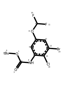 CC(C)(C)OC(=O)Nc1cc(OC(F)F)cc(Br)c1Cl